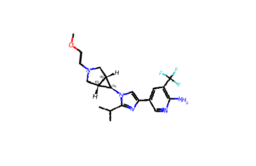 COCCN1C[C@@H]2[C@H](C1)[C@H]2n1cc(-c2cnc(N)c(C(F)(F)F)c2)nc1C(C)C